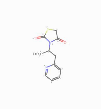 CCOC(=O)C(Cc1ccccn1)N1C(=O)CSC1=O